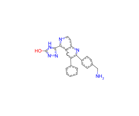 NCc1ccc(-c2nc3ccnc(-c4nnc(O)[nH]4)c3cc2-c2ccccc2)cc1